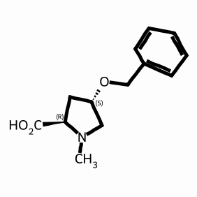 CN1C[C@@H](OCc2ccccc2)C[C@@H]1C(=O)O